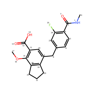 CNC(=O)c1ccc(Cc2cc(C(=O)O)c(OC)c3c2CCC3)cc1F